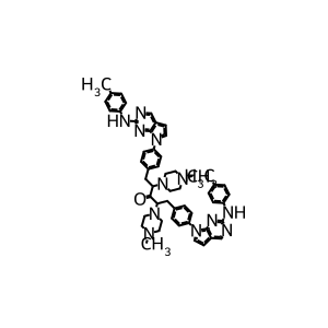 Cc1ccc(Nc2ncc3ccn(-c4ccc(CC(C(=O)C(Cc5ccc(-n6ccc7cnc(Nc8ccc(C)cc8)nc76)cc5)N5CCN(C)CC5)N5CCN(C)CC5)cc4)c3n2)cc1